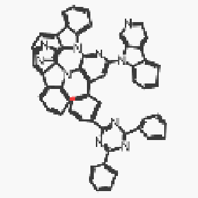 c1ccc(-c2nc(-c3ccccc3)nc(-c3cccc(-c4cc(-n5c6ccccc6c6ccncc65)nc(-n5c6ccccc6c6ccncc65)c4-n4c5ccccc5c5ccncc54)c3)n2)cc1